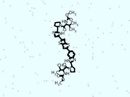 COC(=O)NC(C(=O)N1CCCC1c1nc2ccc(-c3cc4sc(-c5cnc(C6CCCN6C(=O)[C@@H](NC(=O)OC)C(C)C)[nH]5)cc4s3)cc2[nH]1)C(C)C